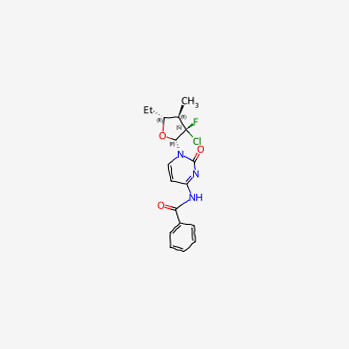 CC[C@H]1O[C@@H](n2ccc(NC(=O)c3ccccc3)nc2=O)[C@@](F)(Cl)[C@@H]1C